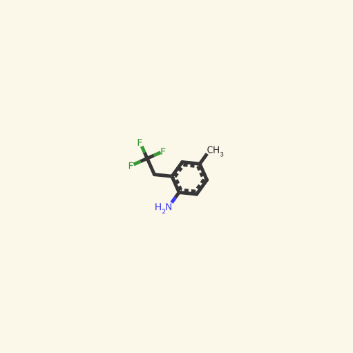 Cc1ccc(N)c(CC(F)(F)F)c1